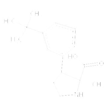 CC(C)(C)c1cccc(C2CCN[C@]2(C)C(=O)O)c1